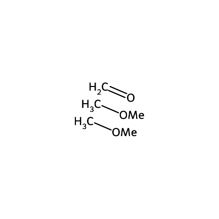 C=O.COC.COC